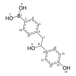 OB(O)c1ccc(CC(O)c2ccc(O)cc2)cc1